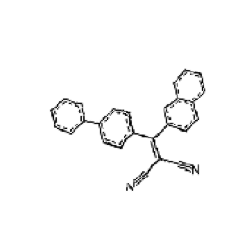 N#CC(C#N)=C(c1ccc(-c2ccccc2)cc1)c1ccc2ccccc2c1